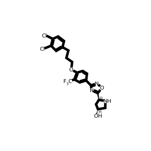 O[C@H]1CN[C@H](c2nc(-c3ccc(OCCCc4ccc(Cl)c(Cl)c4)c(C(F)(F)F)c3)no2)C1